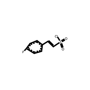 O=S(=O)(Cl)C=Cc1ccc(F)cc1